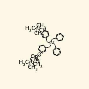 C[P+](C)(C)C.C[P+](C)(C)C.[O-]B([O-])[O-].c1ccc(C[P+](Cc2ccccc2)(Cc2ccccc2)Cc2ccccc2)cc1